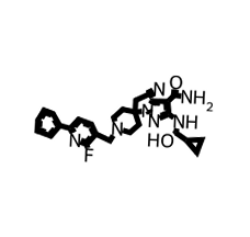 N#CCC1(n2cc(C(N)=O)c(NC(O)C3CC3)n2)CCN(Cc2ccc(-c3ccccc3)nc2F)CC1